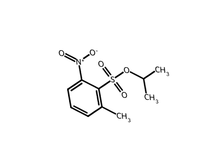 Cc1cccc([N+](=O)[O-])c1S(=O)(=O)OC(C)C